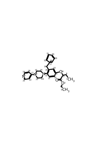 CCOC(=O)C(CC)Oc1ccc(N2CCN(c3ccncc3)CC2)c(Cc2ccccc2)c1